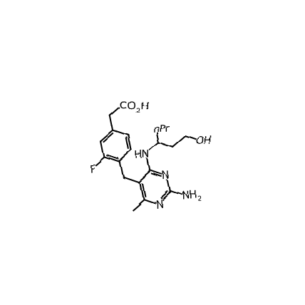 CCCC(CCO)Nc1nc(N)nc(C)c1Cc1ccc(CC(=O)O)cc1F